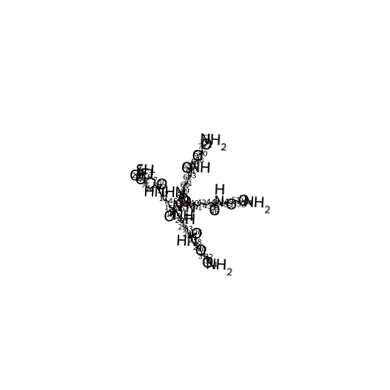 CCP(=O)(S)OC1CCC(C(=O)NCCCCC(C(=O)NCCCCCC(=O)NCCOCCON)N(CC(=O)NCCCCCC(=O)NCCOCCON)CC(=O)NCCCCCC(=O)NCCOCCON)CC1